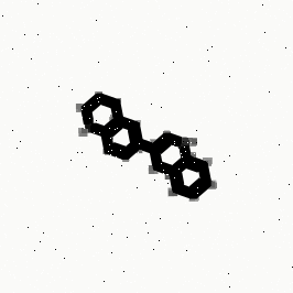 C1=C(c2ccc3c(c2)CCCS3)Cc2ccccc2O1